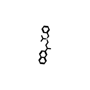 CC(CCN(Cc1ccccc1)C(C)C)c1ccc2ccccc2c1